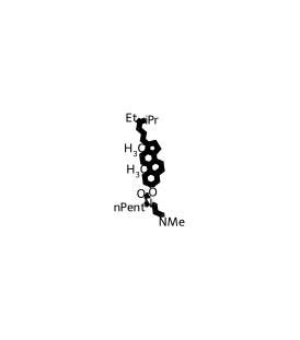 CCCCCN(CCCNC)C(=O)OC1CCC2(C)C(=CCC3C2CCC2(C)C(CCCC(CC)C(C)C)CCC32)C1